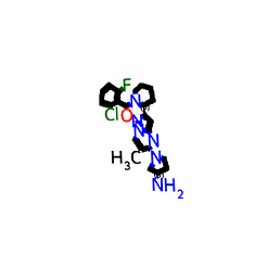 Cc1cn2nc([C@@H]3CCCCN3C(=O)c3c(F)cccc3Cl)cc2nc1N1CC[C@H](N)C1